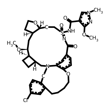 COc1nn(C)cc1C(=O)NS1(=O)=NC(=O)c2ccc3c(c2)N(Cc2ccc(Cl)cc2CCCCO3)C[C@@H]2CC[C@H]2[C@@H](OC)C[C@H]2CCO[C@@H]2CC1